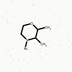 CC(=O)N1CCOC(C)C1C